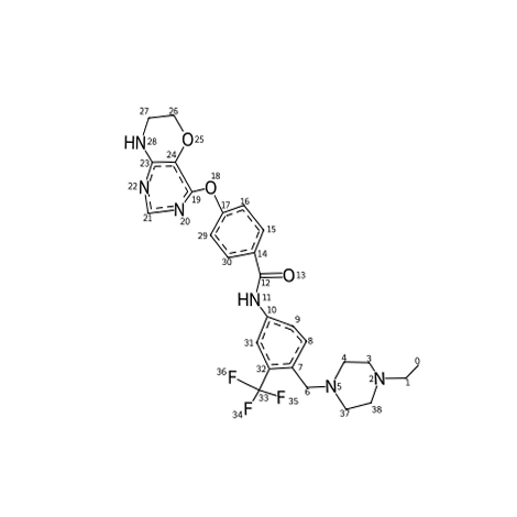 CCN1CCN(Cc2ccc(NC(=O)c3ccc(Oc4ncnc5c4OCCN5)cc3)cc2C(F)(F)F)CC1